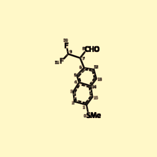 CSc1ccc2cc(C(C=O)C(F)F)ccc2c1